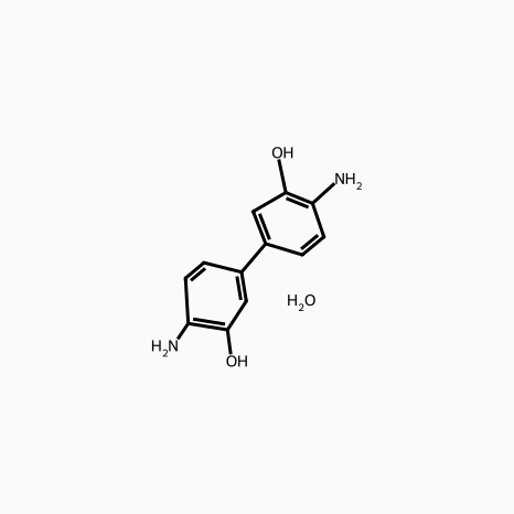 Nc1ccc(-c2ccc(N)c(O)c2)cc1O.O